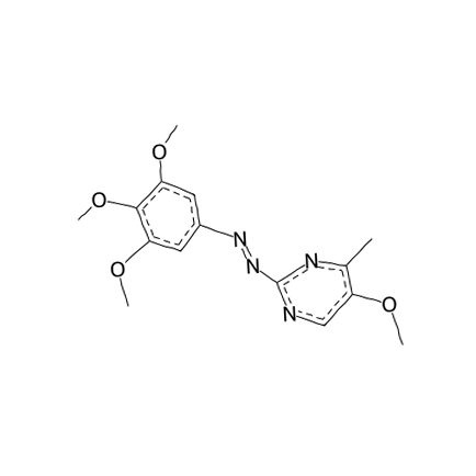 COc1cnc(N=Nc2cc(OC)c(OC)c(OC)c2)nc1C